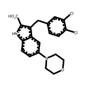 O=C(O)c1[nH]c2ccc(N3CCOCC3)cc2c1Cc1ccc(Cl)c(Cl)c1